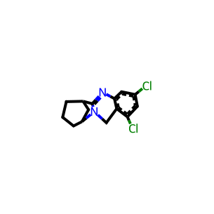 Clc1cc(Cl)c2c(c1)N=C1C3CCCC(C3)N1C2